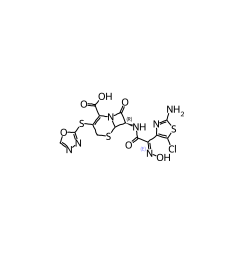 Nc1nc(/C(=N\O)C(=O)N[C@@H]2C(=O)N3C(C(=O)O)=C(Sc4nnco4)CSC23)c(Cl)s1